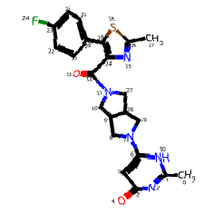 Cc1nc(=O)cc(N2CC3CN(C(=O)c4nc(C)sc4-c4ccc(F)cc4)CC3C2)[nH]1